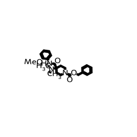 COc1ccccc1NC(=O)C1(N(C)C)CCN(C(=O)OCc2ccccc2)CC1